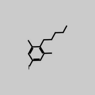 CCCCCc1c(C)cc(I)cc1C